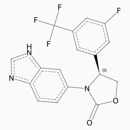 O=C1OC[C@H](c2cc(F)cc(C(F)(F)F)c2)N1c1ccc2nc[nH]c2c1